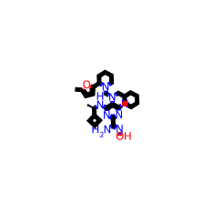 C=Nc1nc(/C(N)=N/O)nc(N[C@H](C)C2CCC2)c1N(CC1CCCCC1)CN1CCCCC1c1ccc(C)o1